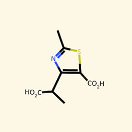 Cc1nc(C(C)C(=O)O)c(C(=O)O)s1